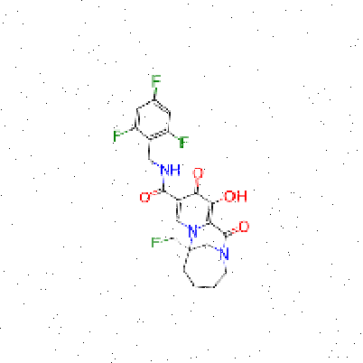 O=C(NCc1c(F)cc(F)cc1F)c1cn2c(c(O)c1=O)C(=O)N1CCCC[C@]2(CF)C1